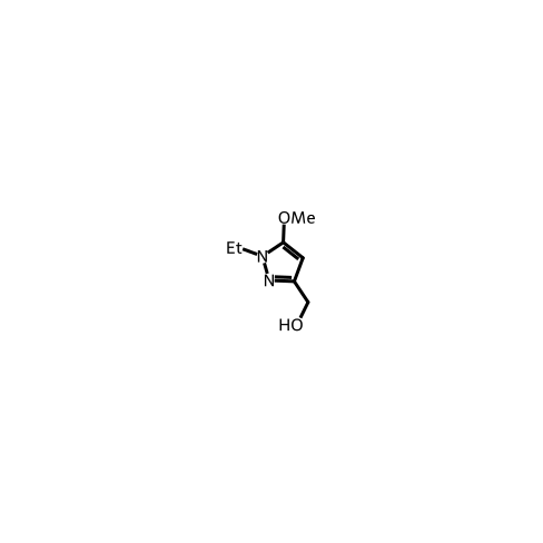 CCn1nc(CO)cc1OC